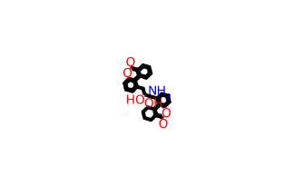 NC(O)(c1cccc2oc(=O)c3c(c12)CCCC3)C(O)Cc1cccc2oc(=O)c3ccccc3c12